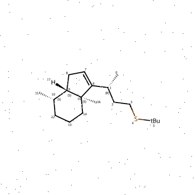 C[C@H](CCSC(C)(C)C)C1=CC[C@H]2[C@@H](C)CCC[C@]12C